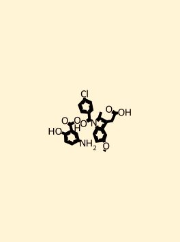 COc1ccc2c(c1)c(CC(=O)O)c(C)n2C(=O)c1ccc(Cl)cc1.Nc1ccc(O)c(C(=O)O)c1